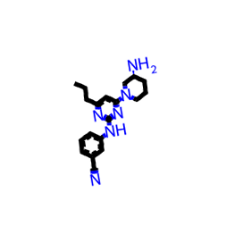 CCCc1cc(N2CCC[C@@H](N)C2)nc(Nc2cccc(C#N)c2)n1